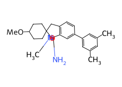 COC1CCC2(CC1)Cc1ccc(-c3cc(C)cc(C)c3)cc1C21N=C(N)N(C)O1